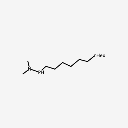 CCCCCCCCCCCCPN(C)C